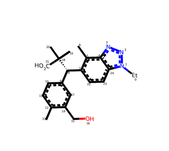 CCn1nnc2c(C)c([C@H](c3ccc(C)c(CO)c3)C(C)(C)C(=O)O)ccc21